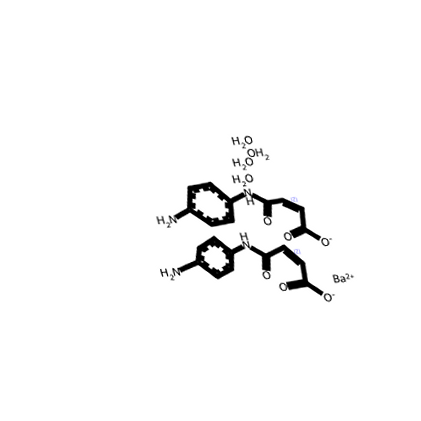 Nc1ccc(NC(=O)/C=C\C(=O)[O-])cc1.Nc1ccc(NC(=O)/C=C\C(=O)[O-])cc1.O.O.O.O.[Ba+2]